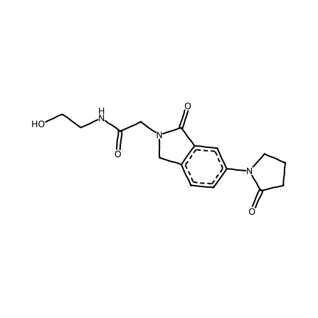 O=C(CN1Cc2ccc(N3CCCC3=O)cc2C1=O)NCCO